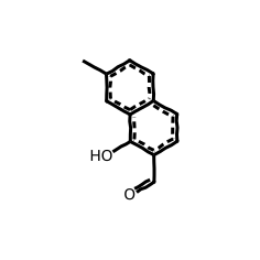 Cc1ccc2ccc(C=O)c(O)c2c1